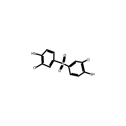 O=S(=O)(c1ccc(S)c(Cl)c1)c1ccc(S)c(Cl)c1